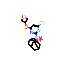 OC12CC3CC(C1)C(Nc1nc(Cl)cc(OC4COC4)n1)C(C3)C2